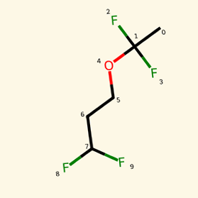 CC(F)(F)OCCC(F)F